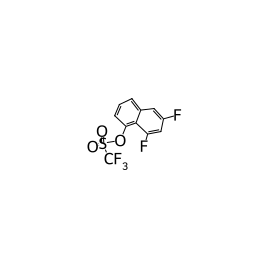 O=S(=O)(Oc1cccc2cc(F)cc(F)c12)C(F)(F)F